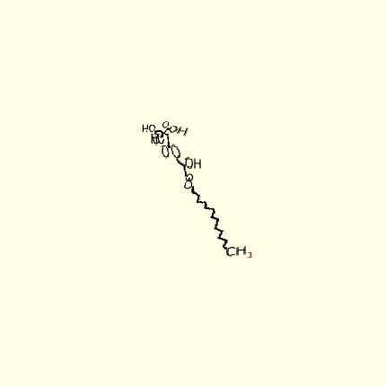 CCCCCCCCCCCCCCCOOCC(O)COC(=O)CC(O)(CC(=O)O)C(=O)O